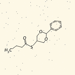 CCCC(=O)SC1COC(c2ccccc2)OC1